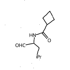 CC(C)CC(C=O)NC(=O)C1CCC1